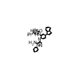 CC(C)NC(C)C.NC(=O)NC1=CC(C2C=Cc3ccccc32)C=CC1=Nc1cnn(-c2ccccc2)c1N